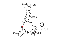 CC[C@H](C)[C@H]1O[C@]2(C=C[C@@H]1C)C[C@@H]1C[C@@H](C/C=C(\C)[C@@H](O[C@H]3C[C@H](OC)[C@@H](O[C@H]4C[C@H](OC)[C@@H](NC)[C@H](C)O4)[C@H](C)O3)[C@@H](C)/C=C/C=C3\CO[C@@H]4[C@H](O)C(C)=C[C@@H](C(=O)O1)[C@]34O)O2.O=C(O)c1ccccc1